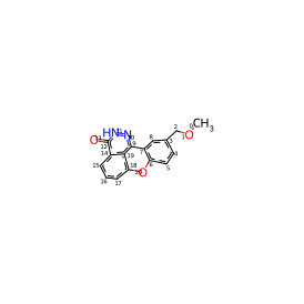 COCc1ccc2c(c1)-c1n[nH]c(=O)c3cccc(c13)O2